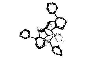 CC1=Cc2c(-c3ccccc3)cccc2[CH]1[Hf]([CH3])([CH3])([CH]1C(C)=Cc2c(-c3ccccc3)cccc21)[SiH](C)c1ccccc1